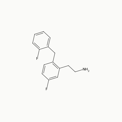 NCCc1cc(F)ccc1Cc1ccccc1F